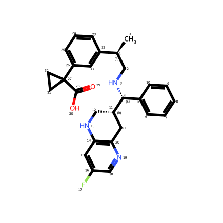 C[C@@H](CN[C@H](c1ccccc1)[C@H]1CNc2cc(F)cnc2C1)c1cccc(C2(C(=O)O)CC2)c1